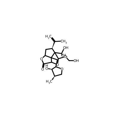 C=C(C)[C@@H]1CC2OC(=O)C3OC(OCO)C1([C@H](C)O)C23CC1OC[C@@H](C)[C@H]1O